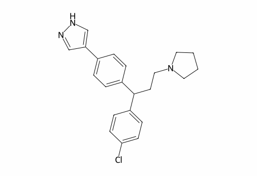 Clc1ccc(C(CCN2CCCC2)c2ccc(-c3cn[nH]c3)cc2)cc1